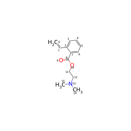 C=Cc1ccccc1C(=O)OCCN(C)C